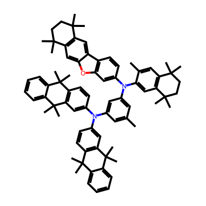 Cc1cc(N(c2ccc3c(c2)C(C)(C)c2ccccc2C3(C)C)c2ccc3c(c2)C(C)(C)c2ccccc2C3(C)C)cc(N(c2ccc3c(c2)oc2cc4c(cc23)C(C)(C)CCC4(C)C)c2cc3c(cc2C)C(C)(C)CCC3(C)C)c1